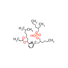 C=CC(=O)OC(CCCCC(C)C)c1ccccc1.CCCCC(CC)COP(=O)(O)OCC(CC)CCCC